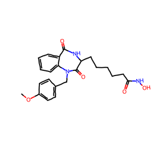 COc1ccc(CN2C(=O)C(CCCCCC(=O)NO)NC(=O)c3ccccc32)cc1